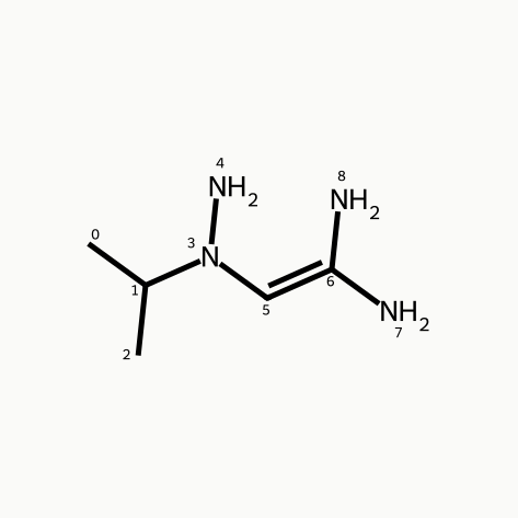 CC(C)N(N)C=C(N)N